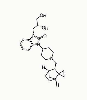 O=c1n(C[C@@H](O)CO)c2ccccc2n1C1CCN(C[C@@H]2[C@H]3CC[C@H](C3)C23CC3)CC1